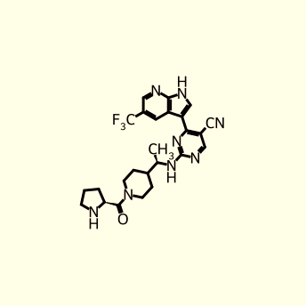 C[C@@H](Nc1ncc(C#N)c(-c2c[nH]c3ncc(C(F)(F)F)cc23)n1)C1CCN(C(=O)[C@@H]2CCCN2)CC1